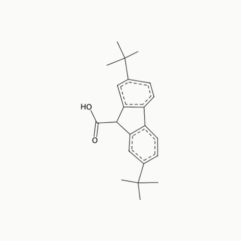 CC(C)(C)c1ccc2c(c1)C(C(=O)O)c1cc(C(C)(C)C)ccc1-2